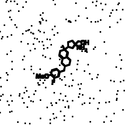 COc1ccc(C[C@@H]2CCC3=CC(C)([C@H]4CC[C@](N)(CO)C4)CC=C3C2)cc1F